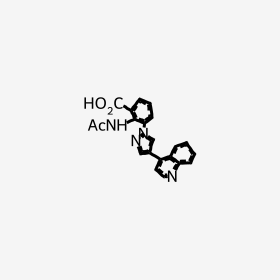 CC(=O)Nc1c(C(=O)O)cccc1-n1cc(-c2ccnc3ccccc23)cn1